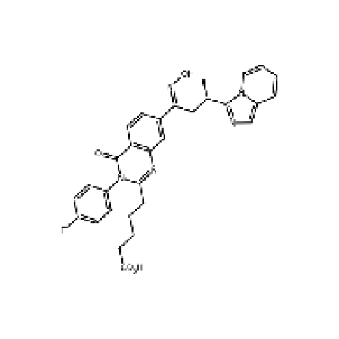 C[C@H](C/C(=N\O)c1ccc2c(=O)n(-c3ccc(F)cc3)c(CCCCC(=O)O)nc2c1)c1ncc2ccccn12